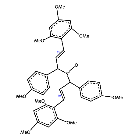 COc1ccc(C(/C=C/c2c(OC)cc(OC)cc2OC)[S+]([O-])C(/C=C/c2c(OC)cc(OC)cc2OC)c2ccc(OC)cc2)cc1